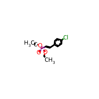 CCOP(=O)(C=Cc1ccc(Cl)cc1)OCC